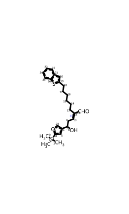 C[Si](C)(C)c1cc(C(O)C/C=C(/C=O)CCCCCCc2cc3ccccc3s2)co1